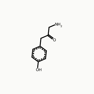 NCC(=O)Cc1ccc(O)cc1